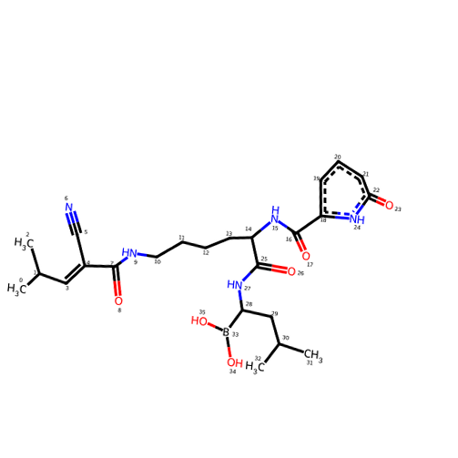 CC(C)C=C(C#N)C(=O)NCCCCC(NC(=O)c1cccc(=O)[nH]1)C(=O)NC(CC(C)C)B(O)O